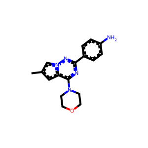 Cc1cc2c(N3CCOCC3)nc(-c3ccc(N)cc3)nn2c1